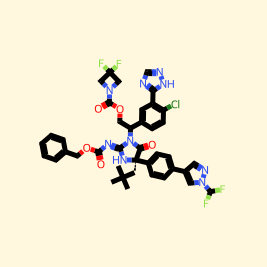 CC(C)(C)C[C@]1(c2ccc(-c3cnn(C(F)F)c3)cc2)NC(=NC(=O)OCc2ccccc2)N(C(COC(=O)N2CC(F)(F)C2)c2ccc(Cl)c(-c3ncn[nH]3)c2)C1=O